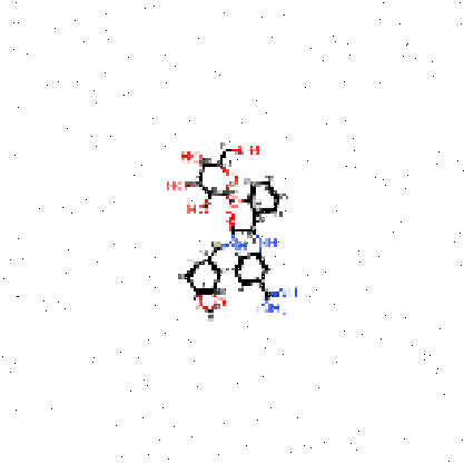 N=C(N)c1cccc(NC(C(=O)NCc2ccc3c(c2)OCO3)c2ccccc2OC2OC(CO)C(O)C(O)C2O)c1